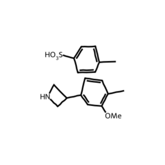 COc1cc(C2CNC2)ccc1C.Cc1ccc(S(=O)(=O)O)cc1